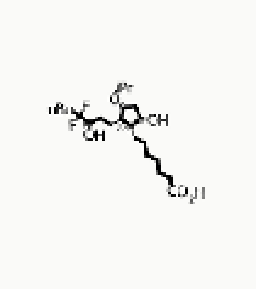 CCCCC(F)(F)[C@H](O)CC[C@@H]1[C@@H](CCCCCCC(=O)O)[C@@H](O)C[C@H]1OC(C)C